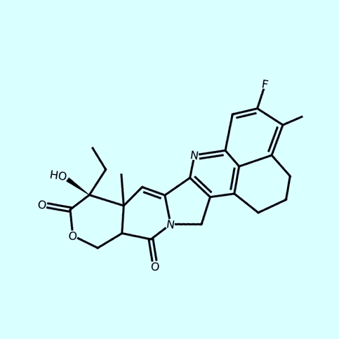 CC[C@@]1(O)C(=O)OCC2C(=O)N3Cc4c(nc5cc(F)c(C)c6c5c4CCC6)C3=CC21C